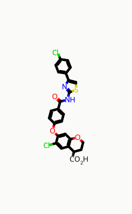 O=C(Nc1nc(-c2ccc(Cl)cc2)cs1)c1ccc(Oc2cc3c(cc2Cl)C(C(=O)O)CCO3)cc1